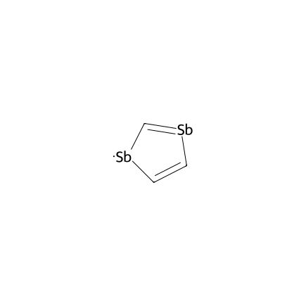 [CH]1=[CH][Sb]=[CH][Sb]1